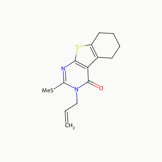 C=CCn1c(SC)nc2sc3c(c2c1=O)CCCC3